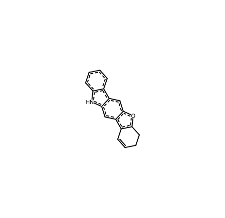 C1=Cc2c(oc3cc4c(cc23)[nH]c2ccccc24)CC1